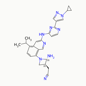 CC(C)c1ccc(N2C[C@H](CC#N)[C@H]2N)c2cnc(Nc3ccnc(-c4cnn(C5CC5)c4)n3)cc12